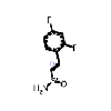 N[S+]([O-])/C=C/c1ccc(F)cc1F